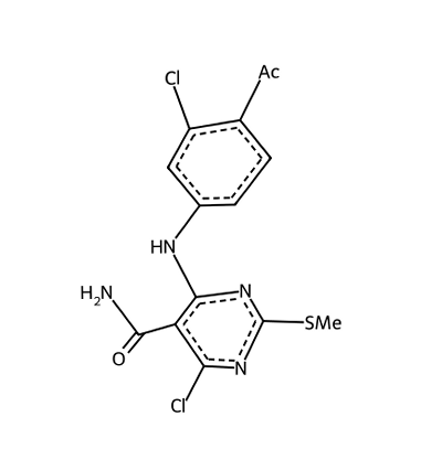 CSc1nc(Cl)c(C(N)=O)c(Nc2ccc(C(C)=O)c(Cl)c2)n1